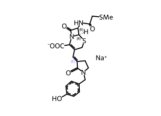 CSCC(=O)N[C@@H]1C(=O)N2C(C(=O)[O-])=C(/C=C3\CCN(Cc4ccc(O)cc4)C3=O)CS[C@H]12.[Na+]